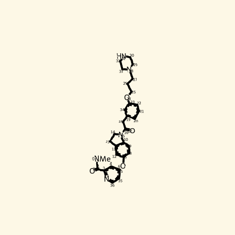 CNC(=O)c1cc(Oc2ccc3c(c2)CCN3C(=O)Cc2cccc(OCCCN3CCNCC3)c2)ccn1